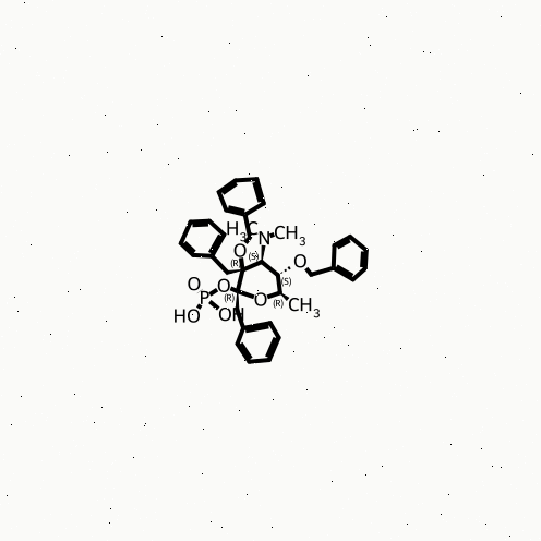 C[C@H]1O[C@](Cc2ccccc2)(OP(=O)(O)O)[C@](Cc2ccccc2)(OCc2ccccc2)[C@@H](N(C)C)[C@@H]1OCc1ccccc1